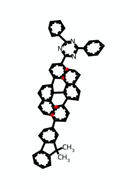 CC1(C)c2ccccc2-c2ccc(-c3ccc(-c4ccc5ccccc5c4-c4c(-c5ccc(-c6nc(-c7ccccc7)nc(-c7ccccc7)n6)cc5)ccc5ccccc45)cc3)cc21